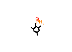 Cc1cc(C)c(C[PH2]=O)c(C)c1